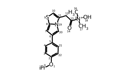 CC(C)Oc1ccc(-c2cc3scc(CC(=O)[N+](C)(C)O)n3c2)cc1